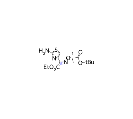 CCOC(=O)/C(=N/OC(C)(C)C(=O)OC(C)(C)C)c1csc(N)n1